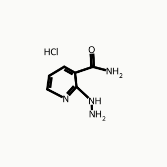 Cl.NNc1ncccc1C(N)=O